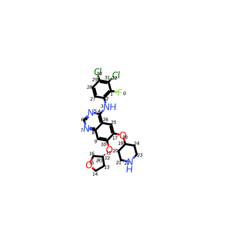 Fc1c(Nc2ncnc3cc(O[C@@H]4CCOC4)c(OC4CCNCC4)cc23)ccc(Cl)c1Cl